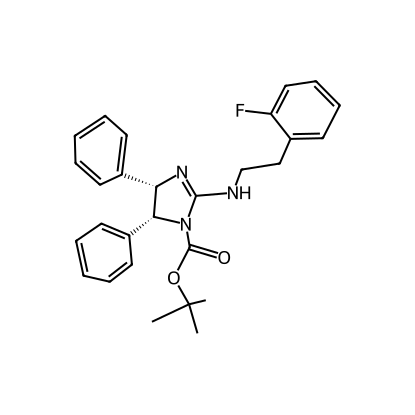 CC(C)(C)OC(=O)N1C(NCCc2ccccc2F)=N[C@@H](c2ccccc2)[C@H]1c1ccccc1